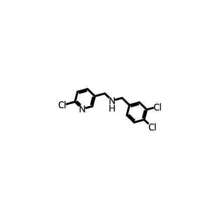 Clc1ccc(CNCc2ccc(Cl)c(Cl)c2)cn1